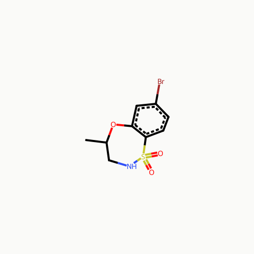 CC1CNS(=O)(=O)c2ccc(Br)cc2O1